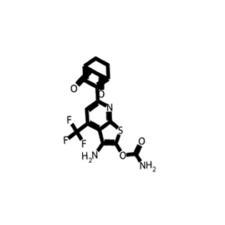 NC(=O)Oc1sc2nc(C3=C4CCC(=C3)C(=O)C4=O)cc(C(F)(F)F)c2c1N